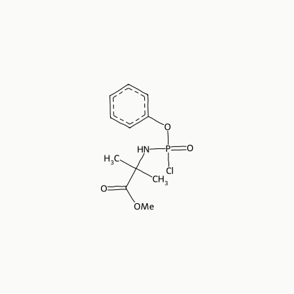 COC(=O)C(C)(C)NP(=O)(Cl)Oc1ccccc1